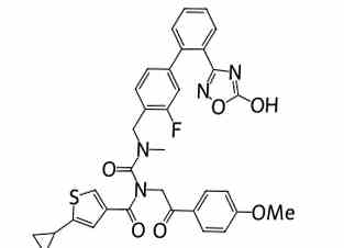 COc1ccc(C(=O)CN(C(=O)c2csc(C3CC3)c2)C(=O)N(C)Cc2ccc(-c3ccccc3-c3noc(O)n3)cc2F)cc1